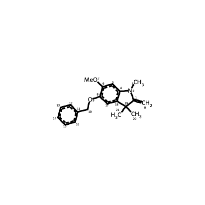 C=C1N(C)c2cc(OC)c(OCc3ccccc3)cc2C1(C)C